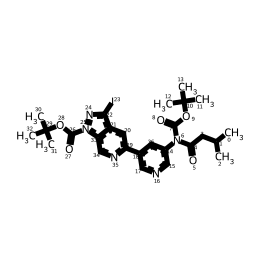 CC(C)CC(=O)N(C(=O)OC(C)(C)C)c1cncc(-c2cc3c(I)nn(C(=O)OC(C)(C)C)c3cn2)c1